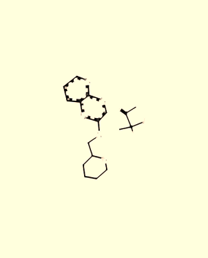 O=C(O)C(F)(F)F.c1cnc2ncc(NCC3CCCCN3)nc2c1